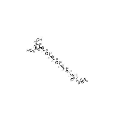 CSSC(C)(C)CCC(=O)NCCOCCOCCOCCOCCOCCOc1cc(CO)nc(CO)c1